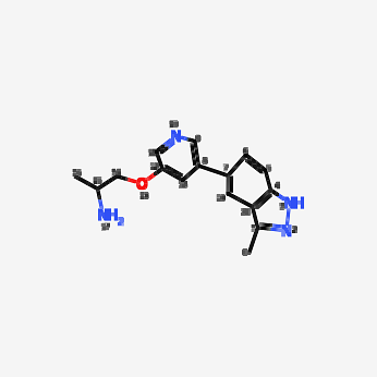 Cc1n[nH]c2ccc(-c3cncc(OCC(C)N)c3)cc12